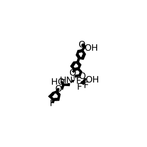 O=C(O)C(F)(F)F.O=C(O)c1ccc(-c2ccc3c(c2)CC[C@H](CNCC(O)COc2ccc(F)cc2)O3)cc1